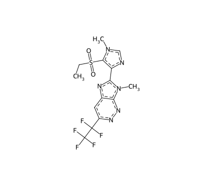 CCS(=O)(=O)c1c(-c2nc3cc(C(F)(F)C(F)(F)F)nnc3n2C)ncn1C